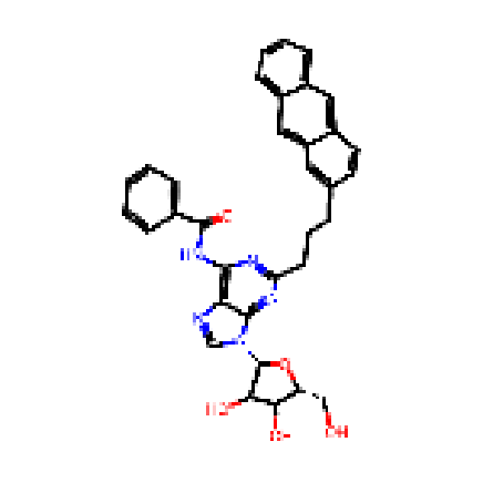 O=C(Nc1nc(CCCc2ccc3cc4ccccc4cc3c2)nc2c1ncn2[C@@H]1O[C@H](CO)C(O)C1O)c1ccccc1